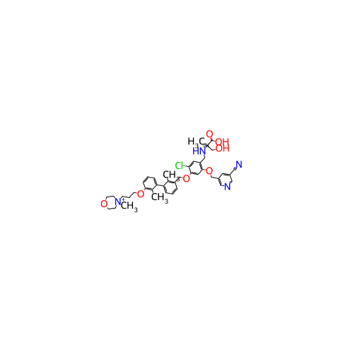 Cc1c(COc2cc(OCc3cncc(C#N)c3)c(CN[C@](C)(CO)C(=O)O)cc2Cl)cccc1-c1cccc(OCCC[N+]2(C)CCOCC2)c1C